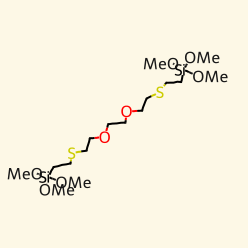 CO[Si](CCSCCOCCOCCSCC[Si](OC)(OC)OC)(OC)OC